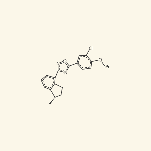 CC(C)Oc1ccc(-c2nc(-c3cccc4c3CC[C@H]4C)no2)cc1Cl